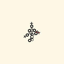 C=c1oc2ccccc2/c1=C/c1c2c(n(-c3ccc(C(C)(C)C)cc3)c1C)B1c3cc(C(C)(C)C)ccc3N(c3ccc(C(C)(C)C)cc3)c3cccc(c31)N2c1ccc(C(C)(C)C)cc1